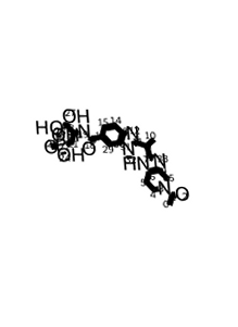 CC(=O)N1CCc2[nH]c(C(C)c3nc4ccc(C(=O)NC(CP(=O)(O)O)C(=O)O)cc4n3C)nc2C1